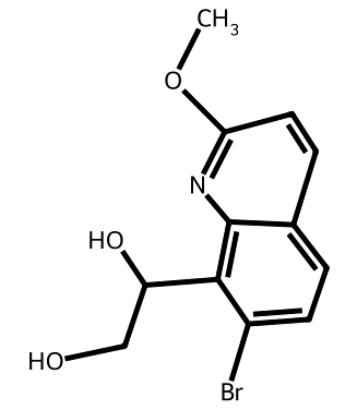 COc1ccc2ccc(Br)c(C(O)CO)c2n1